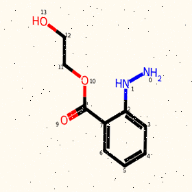 NNc1ccccc1C(=O)OCCO